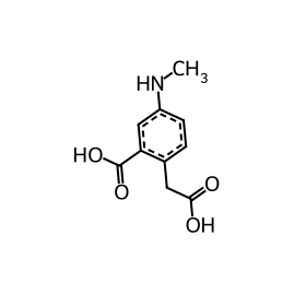 CNc1ccc(CC(=O)O)c(C(=O)O)c1